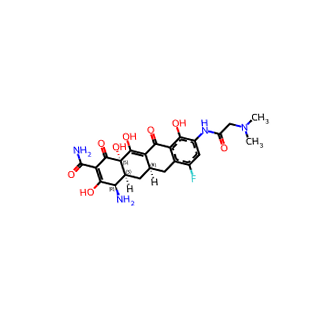 CN(C)CC(=O)Nc1cc(F)c2c(c1O)C(=O)C1=C(O)[C@]3(O)C(=O)C(C(N)=O)=C(O)[C@H](N)[C@@H]3C[C@@H]1C2